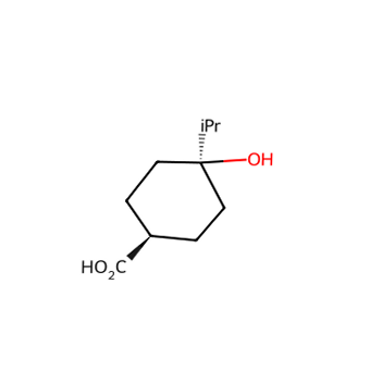 CC(C)[C@]1(O)CC[C@@H](C(=O)O)CC1